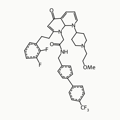 COCCN1CCC(N2C=CC=C3C(=O)C=C(CCc4cccc(F)c4F)N(CC(=O)NCc4ccc(-c5ccc(C(F)(F)F)cc5)cc4)C32)CC1